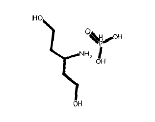 NC(CCO)CCO.O=[PH](O)O